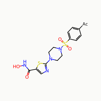 CC(=O)c1ccc(S(=O)(=O)N2CCN(c3ncc(C(=O)NO)s3)CC2)cc1